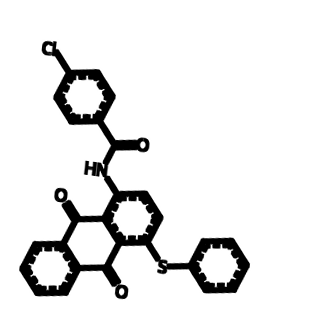 O=C(Nc1ccc(Sc2ccccc2)c2c1C(=O)c1ccccc1C2=O)c1ccc(Cl)cc1